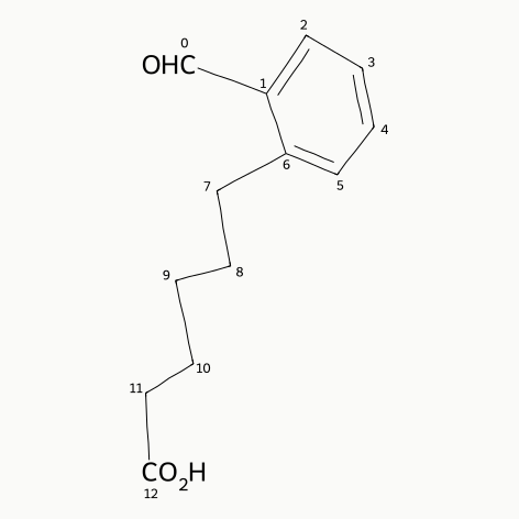 O=Cc1ccccc1CCCCCC(=O)O